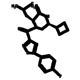 CC(C)C[C@H]1C(=O)N[C@@H](C2CCC2)CN1C(=O)c1cc(-c2ccc(F)cc2)on1